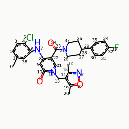 Cc1ccc(Cl)c(Nc2cc(=O)n(Cc3c(C)noc3C)cc2C(=O)N2CCC(c3ccc(F)cc3)CC2)c1